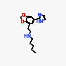 CCCCCNCCc1cc(-c2ncc[nH]2)cc2c1OCO2